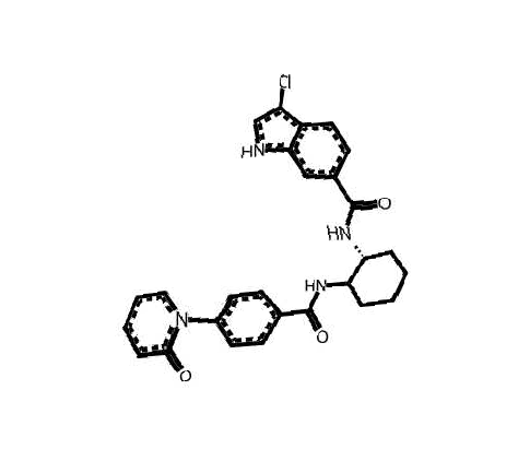 O=C(NC1CCCC[C@H]1NC(=O)c1ccc2c(Cl)c[nH]c2c1)c1ccc(-n2ccccc2=O)cc1